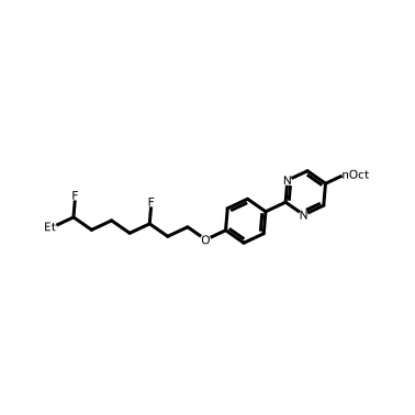 CCCCCCCCc1cnc(-c2ccc(OCCC(F)CCCC(F)CC)cc2)nc1